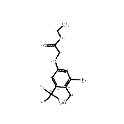 CCOC(=O)COc1cc(C)c(CO)c(C(F)(F)F)c1